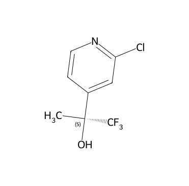 C[C@](O)(c1ccnc(Cl)c1)C(F)(F)F